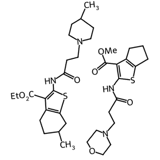 CCOC(=O)c1c(NC(=O)CCN2CCC(C)CC2)sc2c1CCC(C)C2.COC(=O)c1c(NC(=O)CCN2CCOCC2)sc2c1CCC2